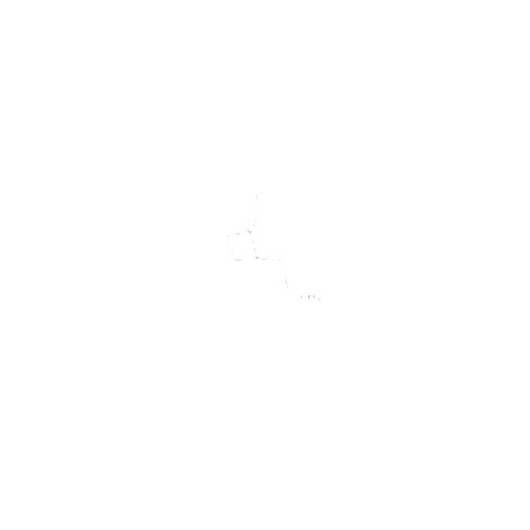 CCCC1CCC1=O